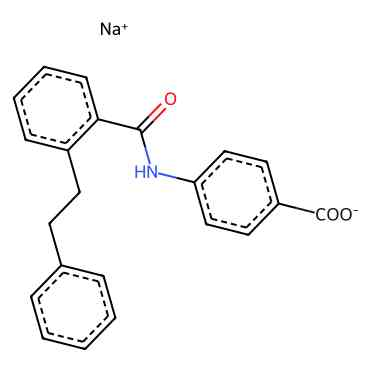 O=C([O-])c1ccc(NC(=O)c2ccccc2CCc2ccccc2)cc1.[Na+]